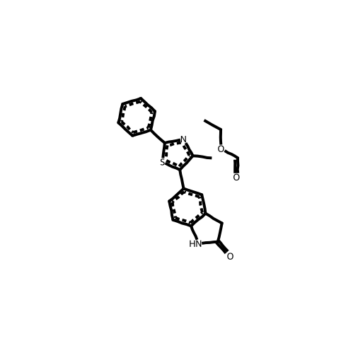 CCOC=O.Cc1nc(-c2ccccc2)sc1-c1ccc2c(c1)CC(=O)N2